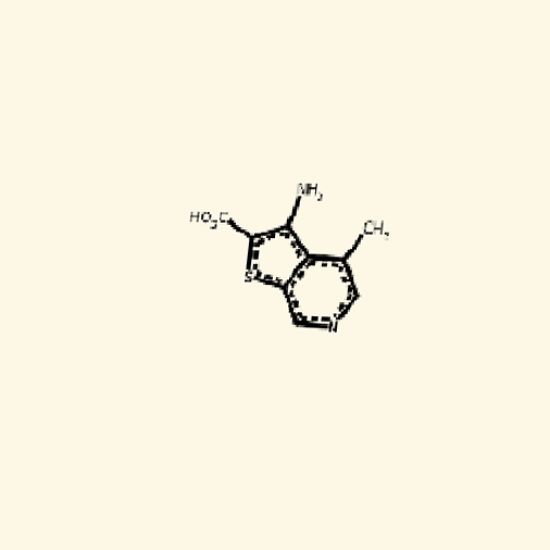 Cc1cncc2sc(C(=O)O)c(N)c12